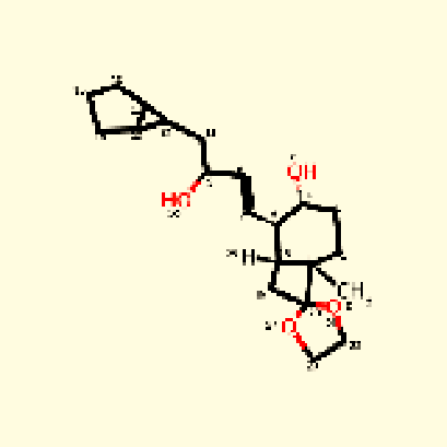 C[C@]12CC[C@@H](O)[C@H](/C=C/[C@@H](O)CC3C4CCCC43)[C@H]1CC21OCCO1